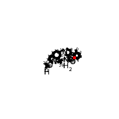 Cc1ccccc1[C@H]1CCN(C[C@@H]2CCc3ccc(O[SiH](C)C)nc3[C@H](C(C)(C)C)C2)C[C@@H]1C(C)(N)S(C)(=O)=O